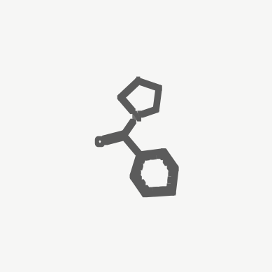 O=C(c1ccccc1)N1C[CH]CC1